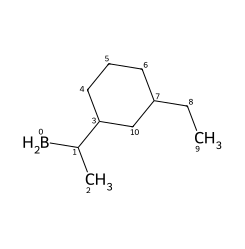 BC(C)C1CCCC(CC)C1